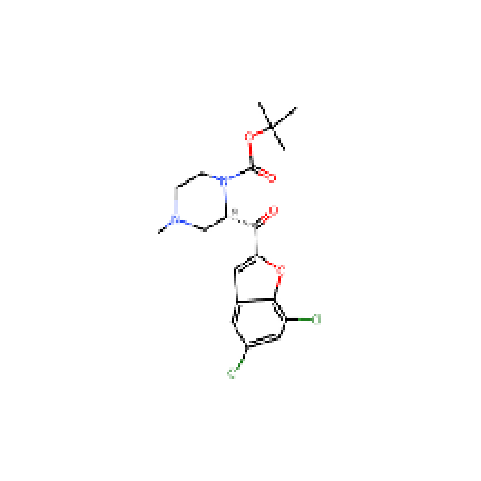 CN1CCN(C(=O)OC(C)(C)C)[C@H](C(=O)c2cc3cc(Cl)cc(Cl)c3o2)C1